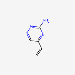 C=Cc1cnnc(N)n1